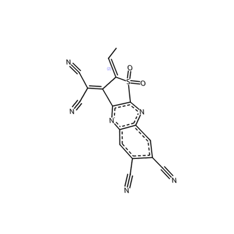 C/C=C1/C(=C(C#N)C#N)c2nc3cc(C#N)c(C#N)cc3nc2S1(=O)=O